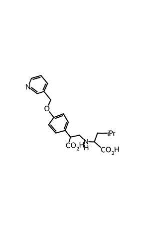 CC(C)CC(NCC(C(=O)O)c1ccc(OCc2cccnc2)cc1)C(=O)O